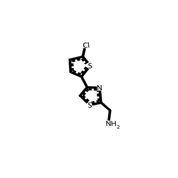 NCc1nc(-c2ccc(Cl)s2)cs1